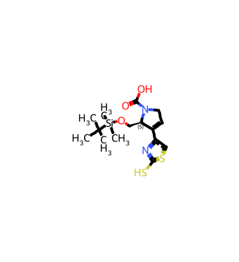 CC(C)(C)[Si](C)(C)OC[C@@H]1C(c2csc(S)n2)=CCN1C(=O)O